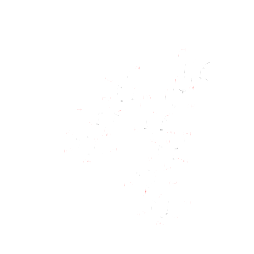 CC(C)[C@@H](OC(CO)[C@H](CO)O[C@@H]1OC(CO[C@H]2OC(CO)[C@@H](O)C(O)[C@H]2O[C@@H]2O[C@@H](CO)[C@@H](O[C@@H]3OC(CO)[C@H](O)C(O)[C@@H]3O)C(O)C2C)[C@@H](O)C(O[C@H]2O[C@H](CO)[C@@H](O)C(O)C2O[C@@H]2OC(CO)[C@@H](O[C@@H]3OC(CO)[C@H](O)[C@H](O)C3O)C(O)[C@@H]2C)[C@H]1O)O[C@@H]1C(CO)O[C@@H](C)[C@@H](C)C1O